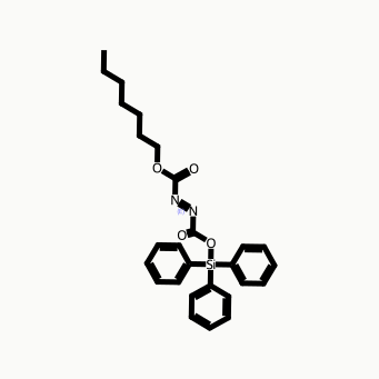 CCCCCCCOC(=O)/N=N/C(=O)O[Si](c1ccccc1)(c1ccccc1)c1ccccc1